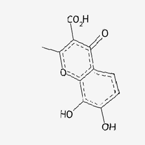 Cc1oc2c(O)c(O)ccc2c(=O)c1C(=O)O